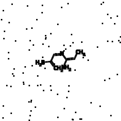 BC(=C)/C=N\C(N)=C/C